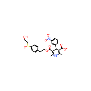 COC(=O)C1=C(C)NC(C)=C(C(=O)OCCc2ccc([S+]([O-])CCO)cc2)C1c1cccc([N+](=O)[O-])c1